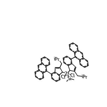 CC(C)CC1=Cc2c(-c3c4ccccc4cc4ccccc34)cccc2[CH]1[Zr]([Cl])([Cl])([CH]1C(CC(C)C)=Cc2c(-c3c4ccccc4cc4ccccc34)cccc21)=[Si](C)C